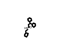 O=C(CC(c1ccccc1)c1ccccc1)NCCc1ccccc1